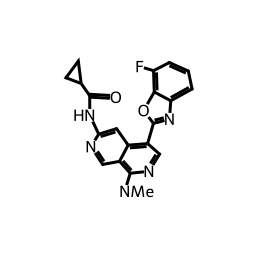 CNc1ncc(-c2nc3cccc(F)c3o2)c2cc(NC(=O)C3CC3)ncc12